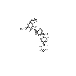 COc1cc(OC)c(F)c(COc2cnc(Nc3ccc(N4CCOCC4)nc3)nc2)c1F